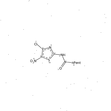 CCCCCC(=O)Nc1nc(Cl)c([N+](=O)[O-])s1